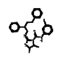 CC1S/C(=N/CC(CCc2ccccc2)c2ccccc2)N(C(=S)Nc2cccc(I)c2)C1C